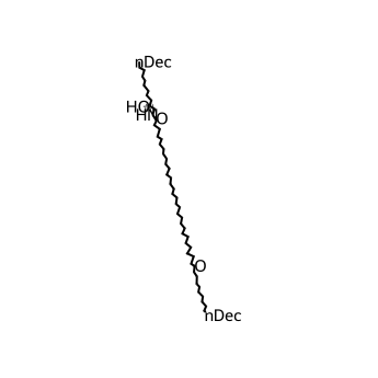 CCCCCCCCCCCCCCCCCCCC(=O)CCCCCCCCCCCCCCCCCCCCCCCCCCCCCC(=O)NC[C@H](O)CCCCCCCCCCCCCCCCCC